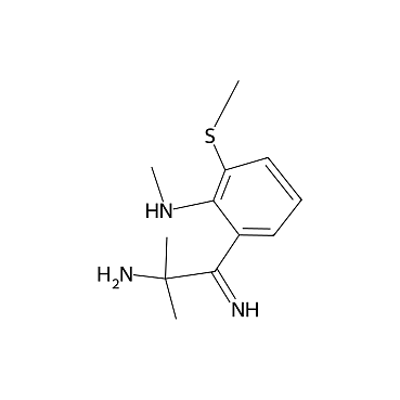 CNc1c(SC)cccc1C(=N)C(C)(C)N